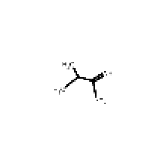 [CH2]C(C)C(=N)N